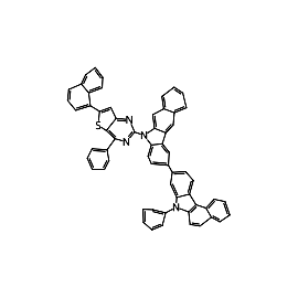 c1ccc(-c2nc(-n3c4ccc(-c5ccc6c7c8ccccc8ccc7n(-c7ccccc7)c6c5)cc4c4cc5ccccc5cc43)nc3cc(-c4cccc5ccccc45)sc23)cc1